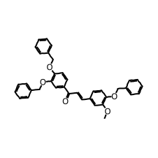 COc1cc(/C=C/C(=O)c2ccc(OCc3ccccc3)c(OCc3ccccc3)c2)ccc1OCc1ccccc1